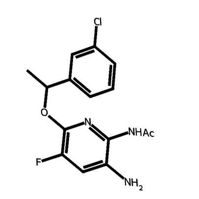 CC(=O)Nc1nc(OC(C)c2cccc(Cl)c2)c(F)cc1N